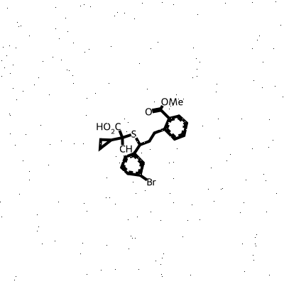 COC(=O)c1ccccc1CCC(SC(C)(C(=O)O)C1CC1)c1cccc(Br)c1